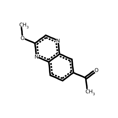 COc1cnc2cc(C(C)=O)ccc2n1